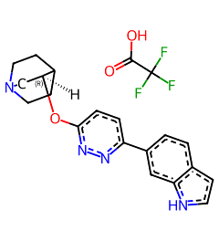 O=C(O)C(F)(F)F.c1cc2ccc(-c3ccc(O[C@H]4CN5CCC4CC5)nn3)cc2[nH]1